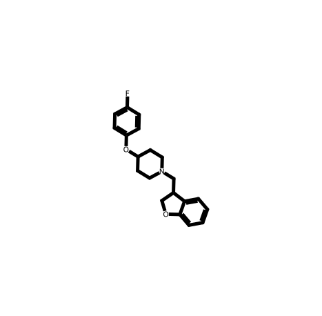 Fc1ccc(OC2CCN(CC3COc4ccccc43)CC2)cc1